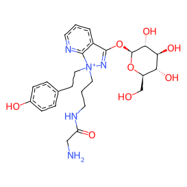 NCC(=O)NCCC[N+]1(CCc2ccc(O)cc2)N=C(O[C@@H]2O[C@H](CO)[C@@H](O)[C@H](O)[C@H]2O)c2cccnc21